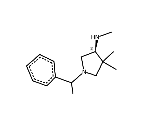 CN[C@@H]1CN(C(C)c2ccccc2)CC1(C)C